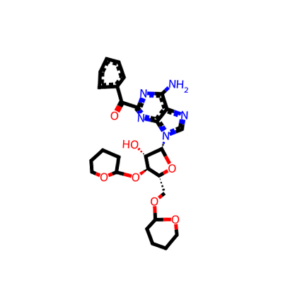 Nc1nc(C(=O)c2ccccc2)nc2c1ncn2[C@@H]1O[C@H](COC2CCCCO2)[C@@H](OC2CCCCO2)[C@@H]1O